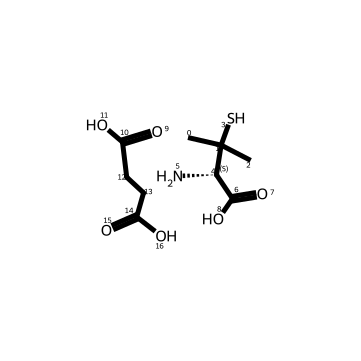 CC(C)(S)[C@@H](N)C(=O)O.O=C(O)CCC(=O)O